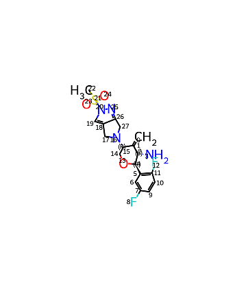 C=C1[C@H](N)[C@@H](c2cc(F)ccc2F)OC[C@@H]1N1Cc2cn(S(C)(=O)=O)nc2C1